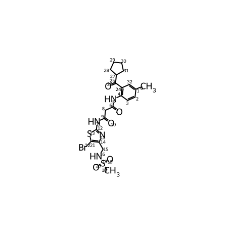 Cc1ccc(NC(=O)CC(=O)Nc2nc(CNS(C)(=O)=O)c(Br)s2)c(C(=O)C2CCCC2)c1